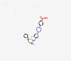 C[C@H]1CC[C@@H](c2ccccc2)SN1CC1=CCC(N2CCN(c3ccc(C(=O)O)cc3)CC2)C=C1F